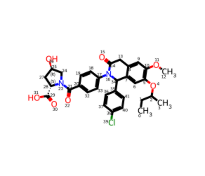 CCC(C)Oc1cc2c(cc1OC)CC(=O)N(c1ccc(C(=O)N3C[C@H](O)C[C@H]3C(=O)O)cc1)C2c1ccc(Cl)cc1